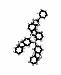 c1ccc(-c2nc3ccc4oc5c(N(c6ccc7oc8ccccc8c7c6)c6ccc7oc8ccccc8c7c6)cccc5c4c3s2)cc1